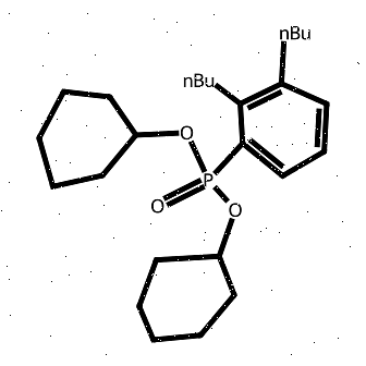 CCCCc1cccc(P(=O)(OC2CCCCC2)OC2CCCCC2)c1CCCC